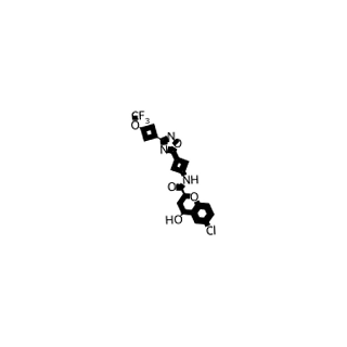 O=C(NC1=CC(c2nc([C@H]3C[C@@H](OC(F)(F)F)C3)no2)C1)[C@@H]1C[C@@H](O)c2cc(Cl)ccc2O1